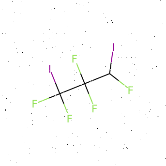 FC(I)C(F)(F)C(F)(F)I